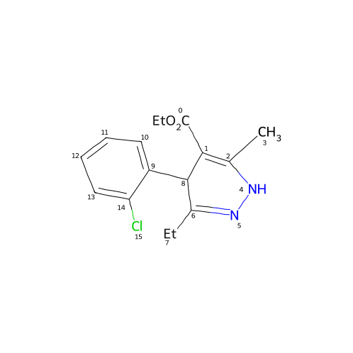 CCOC(=O)C1=C(C)NN=C(CC)C1c1ccccc1Cl